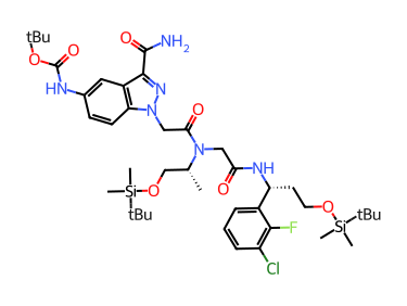 C[C@H](CO[Si](C)(C)C(C)(C)C)N(CC(=O)N[C@H](CCO[Si](C)(C)C(C)(C)C)c1cccc(Cl)c1F)C(=O)Cn1nc(C(N)=O)c2cc(NC(=O)OC(C)(C)C)ccc21